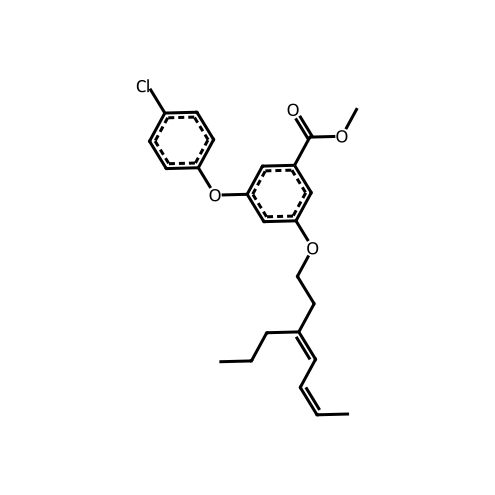 C/C=C\C=C(/CCC)CCOc1cc(Oc2ccc(Cl)cc2)cc(C(=O)OC)c1